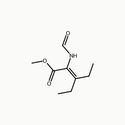 CCC(CC)=C(NC=O)C(=O)OC